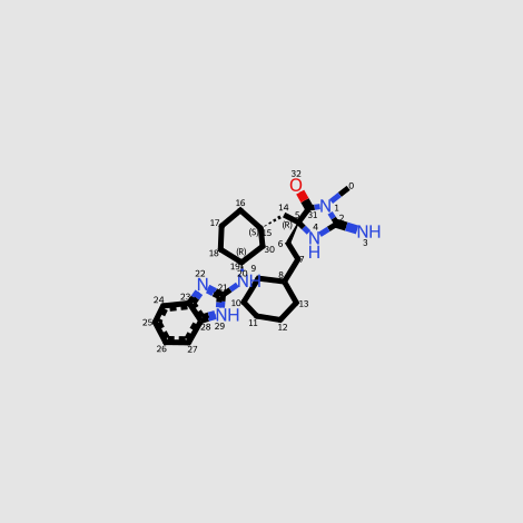 CN1C(=N)N[C@](CCC2CCCCC2)(C[C@H]2CCC[C@@H](Nc3nc4ccccc4[nH]3)C2)C1=O